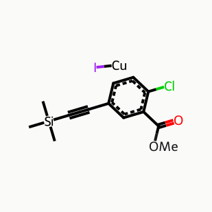 COC(=O)c1cc(C#C[Si](C)(C)C)ccc1Cl.[Cu][I]